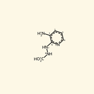 Nc1cccnc1NNC(=O)O